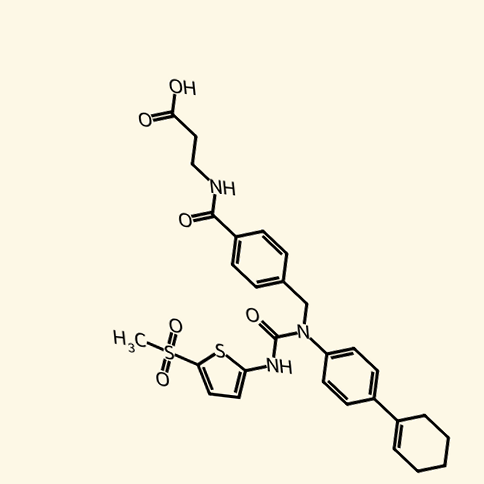 CS(=O)(=O)c1ccc(NC(=O)N(Cc2ccc(C(=O)NCCC(=O)O)cc2)c2ccc(C3=CCCCC3)cc2)s1